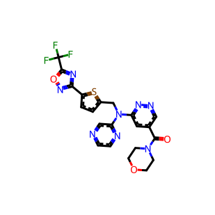 O=C(c1cnnc(N(Cc2ccc(-c3noc(C(F)(F)F)n3)s2)c2cnccn2)c1)N1CCOCC1